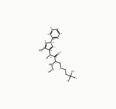 CONC(CSCCC(F)(F)F)C(=O)N(C)c1cn(-c2cccnc2)nc1Cl